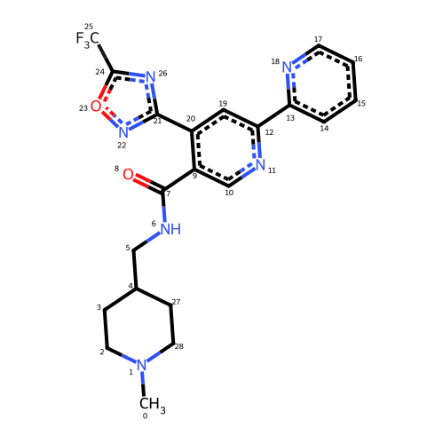 CN1CCC(CNC(=O)c2cnc(-c3ccccn3)cc2-c2noc(C(F)(F)F)n2)CC1